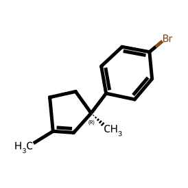 CC1=C[C@](C)(c2ccc(Br)cc2)CC1